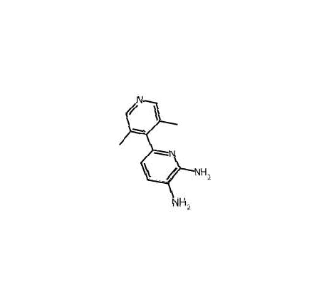 Cc1cncc(C)c1-c1ccc(N)c(N)n1